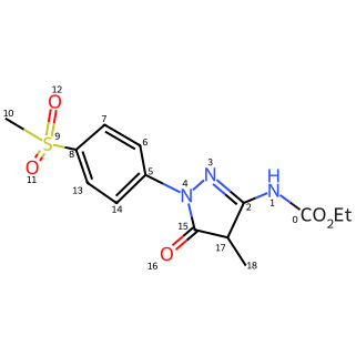 CCOC(=O)NC1=NN(c2ccc(S(C)(=O)=O)cc2)C(=O)C1C